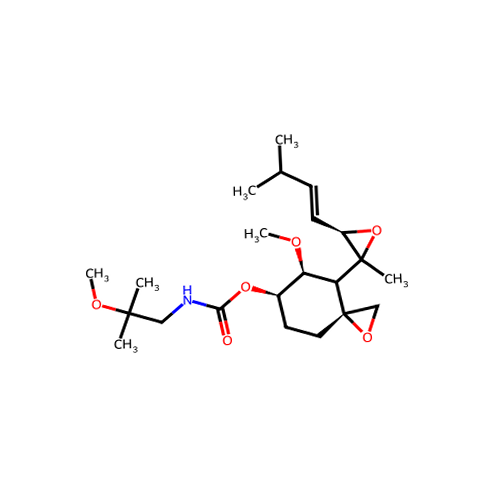 CO[C@H]1C(C2(C)O[C@@H]2/C=C/C(C)C)[C@]2(CC[C@H]1OC(=O)NCC(C)(C)OC)CO2